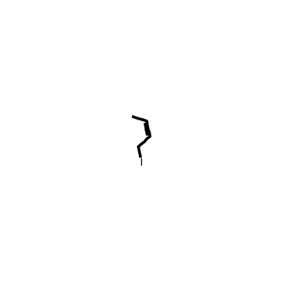 C/C=C\CI